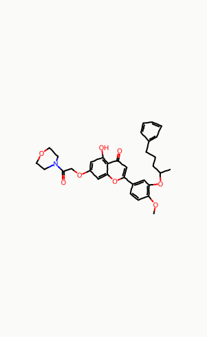 COc1ccc(-c2cc(=O)c3c(O)cc(OCC(=O)N4CCOCC4)cc3o2)cc1OC(C)CCCc1ccccc1